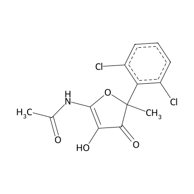 CC(=O)NC1=C(O)C(=O)C(C)(c2c(Cl)cccc2Cl)O1